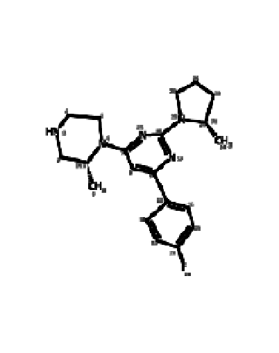 C[C@@H]1CNCCN1c1cc(-c2ccc(F)cc2)nc(N2CCC[C@H]2C)n1